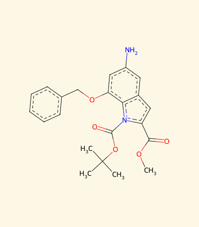 COC(=O)c1cc2cc(N)cc(OCc3ccccc3)c2n1C(=O)OC(C)(C)C